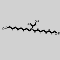 CCCCCCCCCCCCCCCCCCN(CCCCCCCCCCCCCCCCCC)C(O)CO